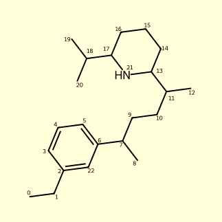 CCc1cccc(C(C)CCC(C)C2CCCC(C(C)C)N2)c1